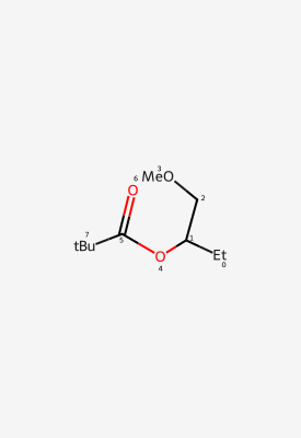 CCC(COC)OC(=O)C(C)(C)C